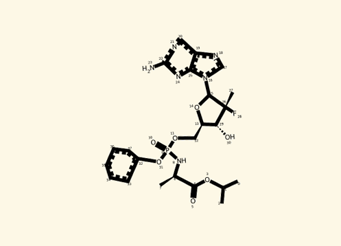 CC(C)OC(=O)[C@@H](C)NP(=O)(OC[C@H]1OC(n2cnc3cnc(N)nc32)[C@](C)(F)[C@@H]1O)Oc1ccccc1